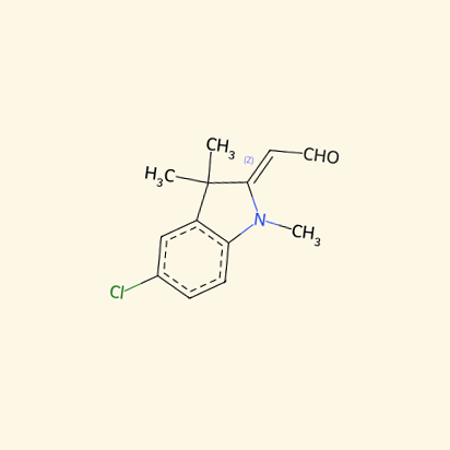 CN1/C(=C\C=O)C(C)(C)c2cc(Cl)ccc21